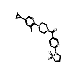 Cc1cc(C2CC2)cnc1N1CCN(C(=O)c2ccc(N3CCCS3(=O)=O)nc2)CC1